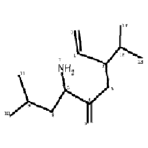 C=CC(CC(=C)C(N)CC(C)C)C(C)C